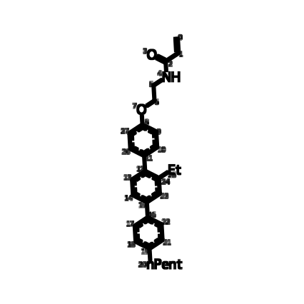 C=CC(=O)NCCOc1ccc(-c2ccc(-c3ccc(CCCCC)cc3)cc2CC)cc1